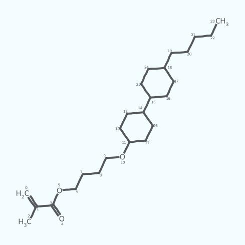 C=C(C)C(=O)OCCCCOC1CCC(C2CCC(CCCCC)CC2)CC1